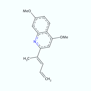 C=C/C=C(\C)c1cc(OC)c2ccc(OC)cc2n1